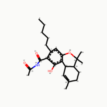 CCCCCc1cc2c(c(O)c1C(=O)NC(C)=O)C1C=C(C)CCC1C(C)(C)O2